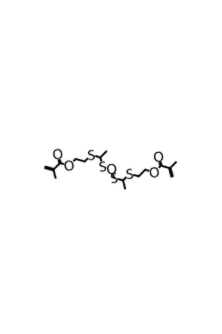 C=C(C)C(=O)OCCSC(C)SOSC(C)SCCOC(=O)C(=C)C